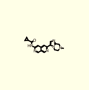 CN1CCn2c(-c3cc4cc(NC(=O)C5CC5)ncc4cn3)cnc2C1